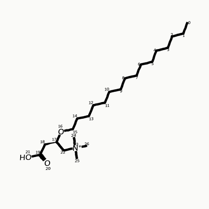 CCCCCCCCCCCCCCCCO[C@H](CC(=O)O)C[N+](C)(C)C